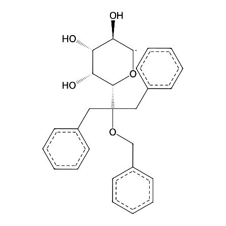 O[C@@H]1[C@H](O)[C@@H](O)[CH]O[C@@H]1C(Cc1ccccc1)(Cc1ccccc1)OCc1ccccc1